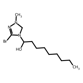 CCCCCCCCC(O)N1CN(C)N=C1Br